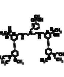 CCN(CC)c1cc(C#Cc2cc(CNCCN(CCNCc3cc(C#Cc4ccc(OC)c(N(CC)CC)c4)cc(P(C)(=O)O)n3)Cc3cccc(P(C)(=O)O)n3)nc(P(C)(=O)O)c2)ccc1OC